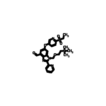 CCS(=O)(=O)c1ccc(Oc2cc(C=O)c3nc(-c4ccccn4)n(COCC[Si](C)(C)C)c3c2)cn1